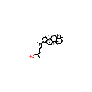 CC(CO)CCC[C@@H](C)[C@H]1CC[C@]2(C)[C@@H]1CC[C@@H]1[C@@]3(C)CCCC(C)(C)[C@@H]3CC[C@]12C